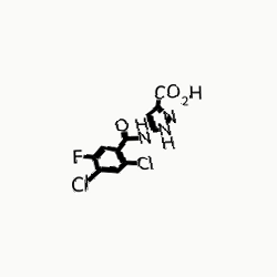 O=C(O)c1cc(NC(=O)c2cc(F)c(Cl)cc2Cl)[nH]n1